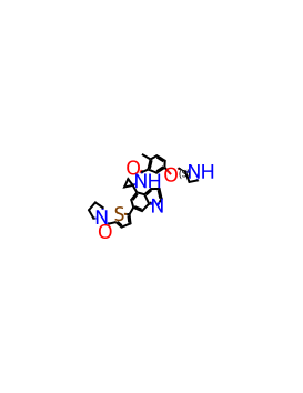 Cc1ccc(OC[C@@H]2CCN2)cc1C(=O)NC1(c2cc(-c3ccc(C(=O)N4CCCC4)s3)cc3ncccc23)CC1